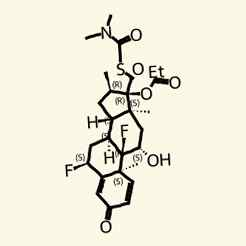 CCC(=O)O[C@]1(C(=O)SC(=O)N(C)C)[C@H](C)C[C@H]2[C@@H]3C[C@H](F)C4=CC(=O)C=C[C@]4(C)[C@@]3(F)[C@@H](O)C[C@@]21C